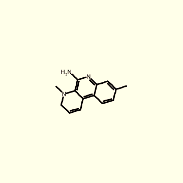 Cc1ccc2c3c(c(N)nc2c1)N(C)CC=C3